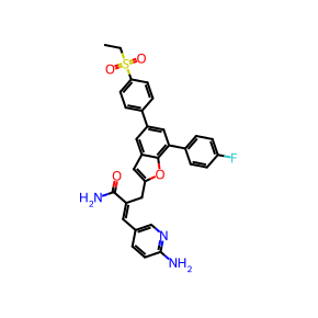 CCS(=O)(=O)c1ccc(-c2cc(-c3ccc(F)cc3)c3oc(C/C(=C\c4ccc(N)nc4)C(N)=O)cc3c2)cc1